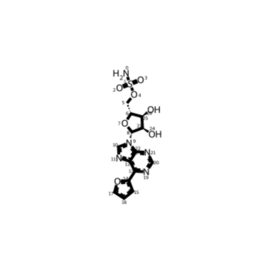 NS(=O)(=O)OC[C@H]1O[C@@H](n2cnc3c(-c4ccco4)ncnc32)[C@H](O)[C@@H]1O